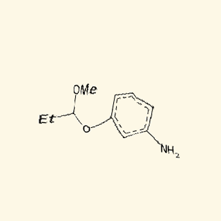 CCC(OC)Oc1cccc(N)c1